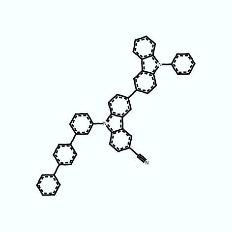 N#Cc1ccc2c(c1)c1cc(-c3ccc4c(c3)c3ccccc3n4-c3ccccc3)ccc1n2-c1cccc(-c2ccc(-c3ccccc3)cc2)c1